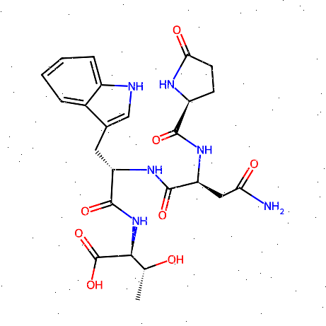 C[C@@H](O)[C@H](NC(=O)[C@H](Cc1c[nH]c2ccccc12)NC(=O)[C@H](CC(N)=O)NC(=O)[C@@H]1CCC(=O)N1)C(=O)O